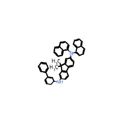 CC1(C)c2cc(NC3C=C(c4ccccc4)C=CC3)ccc2-c2ccc(N(c3cccc4ccccc34)c3cccc4ccccc34)cc21